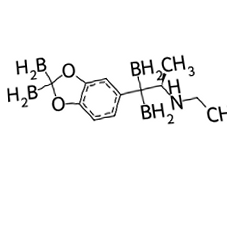 BC1(B)Oc2ccc(C(B)(B)[C@@H](C)NCC)cc2O1